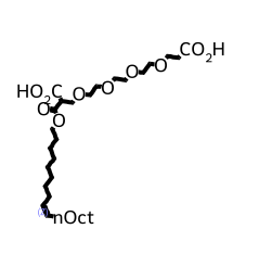 CCCCCCCC/C=C\CCCCCCCCOC(=O)C(COCCOCCOCCOCCC(=O)O)C(=O)O